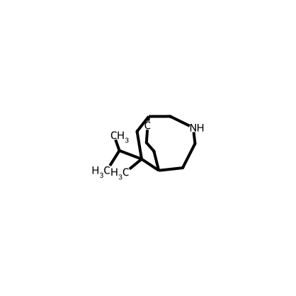 CC(C)C1(C)CC2CCCC1CCNC2